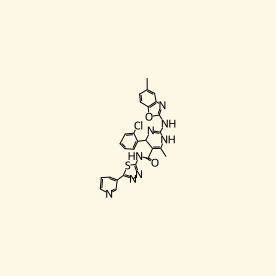 CC1=C(C(=O)Nc2nnc(-c3cccnc3)s2)C(c2ccccc2Cl)N=C(Nc2nc3cc(C)ccc3o2)N1